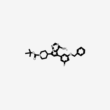 CC(C)(C)OC(=O)N1CCC(c2cc(-c3cc(F)cc(OCc4ccccc4)c3)c3c(N)ncnn23)CC1